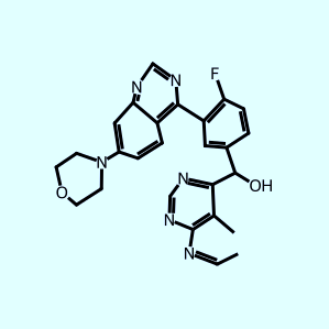 C/C=N\c1ncnc(C(O)c2ccc(F)c(-c3ncnc4cc(N5CCOCC5)ccc34)c2)c1C